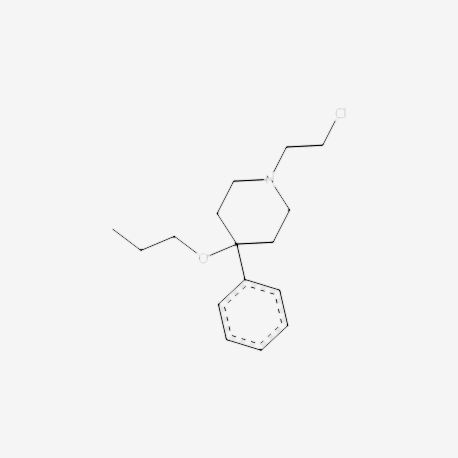 CCCOC1(c2ccccc2)CCN(CCCl)CC1